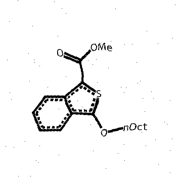 CCCCCCCCOc1sc(C(=O)OC)c2ccccc12